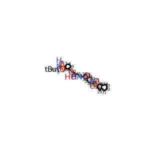 CC(NS(=O)(=O)c1cccc(OC[C@@H](O)CNC2COC3(CCN(S(=O)(=O)c4ccc5ccccc5c4)CC3)C2)c1)C(C)(C)C